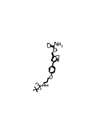 CC(C)(C)OC(=O)NCCCOc1ccc(-c2cc(COC(N)=O)on2)cc1